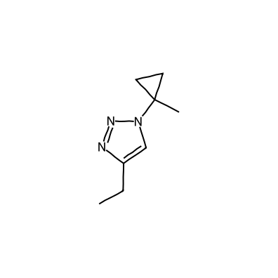 CCc1cn(C2(C)CC2)nn1